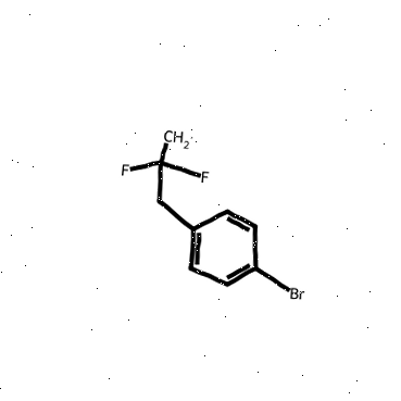 [CH2]C(F)(F)Cc1ccc(Br)cc1